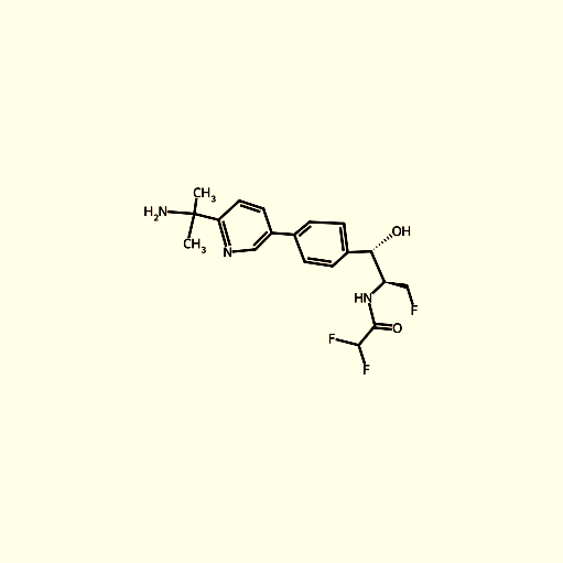 CC(C)(N)c1ccc(-c2ccc([C@H](O)[C@@H](CF)NC(=O)C(F)F)cc2)cn1